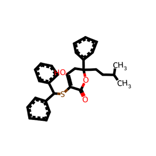 CC(C)CCC1(c2ccccc2)CC(O)=C(SC(c2ccccc2)c2ccccc2)C(=O)O1